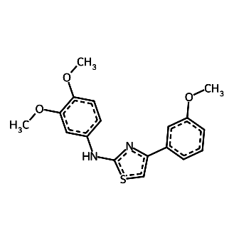 COc1cccc(-c2csc(Nc3ccc(OC)c(OC)c3)n2)c1